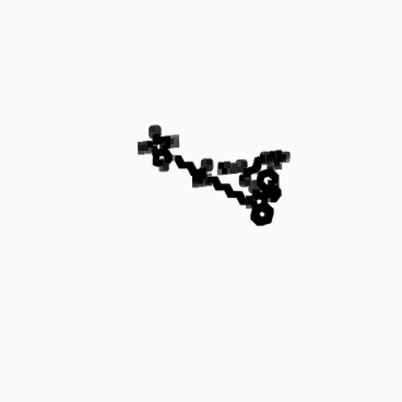 CC[C@H]1CN2CC[C@]3(C(=O)N(CCCCCCNC(=O)CCCC[C@@H]4SCC5NC(=O)NC54)c4ccccc43)[C@@H]2C[C@@H]1/C(=C\OC)C(=O)OC